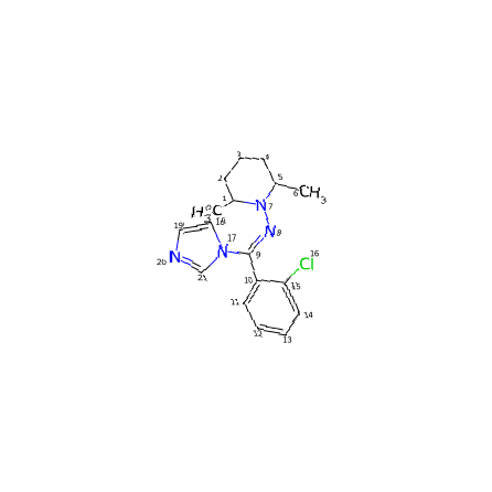 CC1CCCC(C)N1N=C(c1ccccc1Cl)n1ccnc1